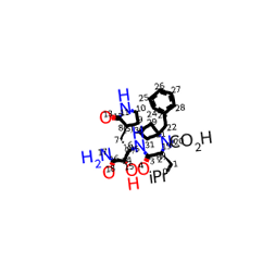 CC(C)C[C@@H](C(=O)N[C@@H](C[C@@H]1CCNC1=O)C(O)C(N)=O)N(C(=O)O)C1(Cc2ccccc2)CCC1